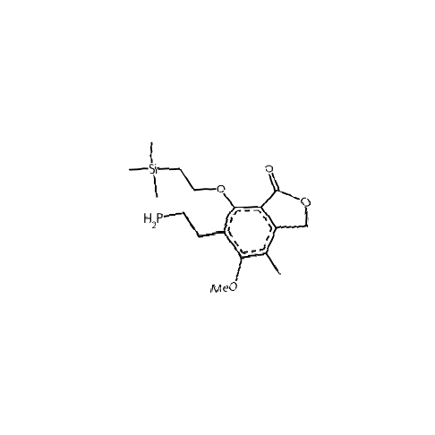 COc1c(C)c2c(c(OCC[Si](C)(C)C)c1CCP)C(=O)OC2